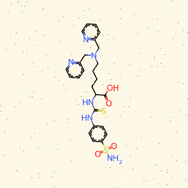 NS(=O)(=O)c1ccc(NC(=S)NC(CCCCN(Cc2ccccn2)Cc2ccccn2)C(=O)O)cc1